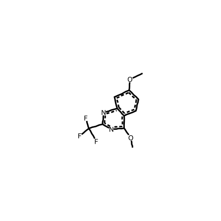 COc1ccc2c(OC)nc(C(F)(F)F)nc2c1